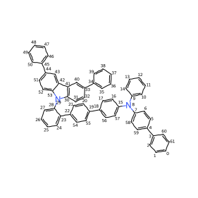 c1ccc(-c2ccc(N(c3ccccc3)c3ccc(-c4ccc(-c5ccccc5-n5c6ccc(-c7ccccc7)cc6c6cc(-c7ccccc7)ccc65)cc4)cc3)cc2)cc1